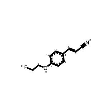 N#C/C=C/c1ccc(OCCF)cc1